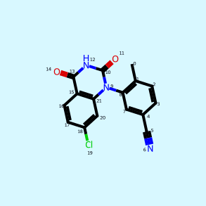 Cc1ccc(C#N)cc1-n1c(=O)[nH]c(=O)c2ccc(Cl)cc21